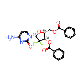 Nc1ccn([C@@H]2O[C@H](COC(=O)c3ccccc3)[C@H](OC(=O)c3ccccc3)C2(F)F)c(=O)n1